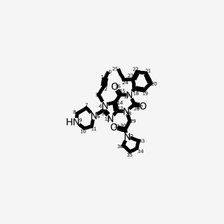 CC#CCn1c(N2CCNCC2)nc2c1c(=O)n(-c1ccccc1CC)c(=O)n2CC(=O)N1CCCC1